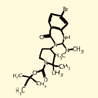 CN(C)C1Nc2cc(Br)ccc2C(=O)N1C1CCN(C(=O)OC(C)(C)C)C(C)(C)C1